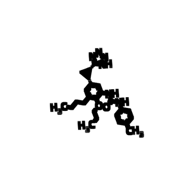 CCCCc1cc([C@@H]2C[C@@H]2c2nnn[nH]2)cc(NC(=O)Nc2ccc(C)cc2)c1OCCC